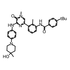 Cc1c(NC(=O)c2ccc(C(C)(C)C)cc2)cccc1-c1cn(C)c(=O)c(Nc2ccc(N3CCC(C)(O)CC3)cc2)n1